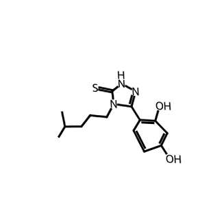 CC(C)CCCn1c(-c2ccc(O)cc2O)n[nH]c1=S